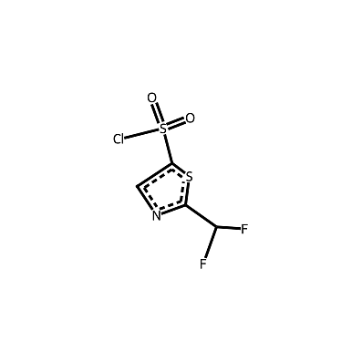 O=S(=O)(Cl)c1cnc(C(F)F)s1